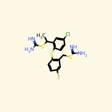 CC(SC(=N)N)c1cc(Cl)ccc1Sc1ccc(F)cc1CSC(=N)N